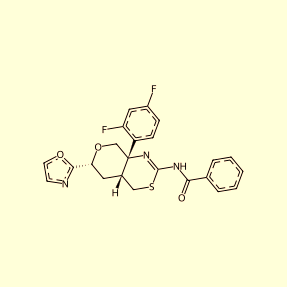 O=C(NC1=N[C@@]2(c3ccc(F)cc3F)CO[C@@H](c3ncco3)C[C@H]2CS1)c1ccccc1